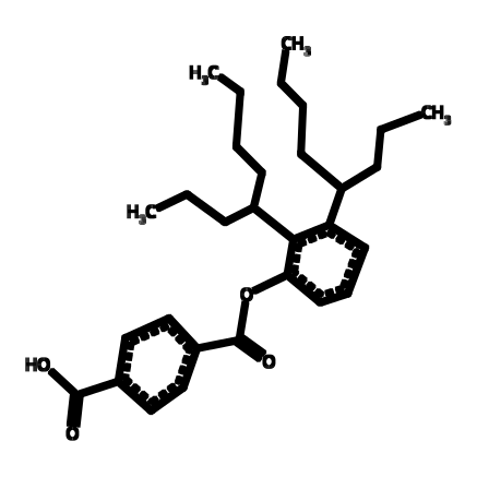 CCCCC(CCC)c1cccc(OC(=O)c2ccc(C(=O)O)cc2)c1C(CCC)CCCC